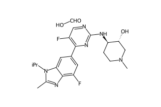 Cc1nc2c(F)cc(-c3nc(N[C@@H]4CCN(C)C[C@H]4O)ncc3F)cc2n1C(C)C.O=CO